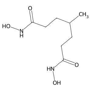 CC(CCC(=O)NO)CCC(=O)NO